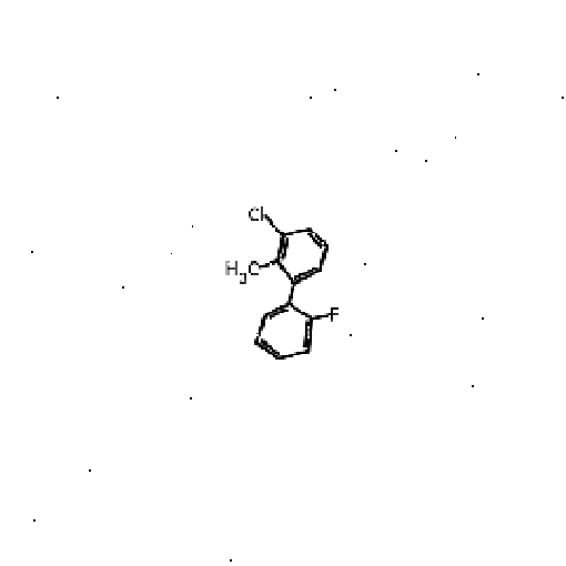 Cc1c(Cl)cccc1-c1ccccc1F